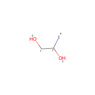 OCC(O)I